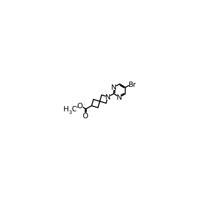 COC(=O)C1CC2(C1)CN(c1ncc(Br)cn1)C2